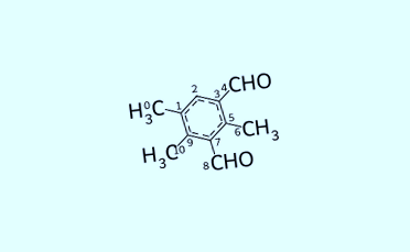 Cc1cc(C=O)c(C)c(C=O)c1C